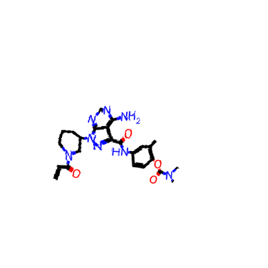 C=CC(=O)N1CCCC(n2nc(C(=O)Nc3ccc(OC(=O)N(C)C)c(C)c3)c3c(N)ncnc32)C1